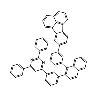 c1ccc(-c2cc(-c3cccc(-c4ccc5ccccc5c4-c4cccc(-c5ccc6c(c5)-c5cccc7cccc-6c57)c4)c3)nc(-c3ccccc3)n2)cc1